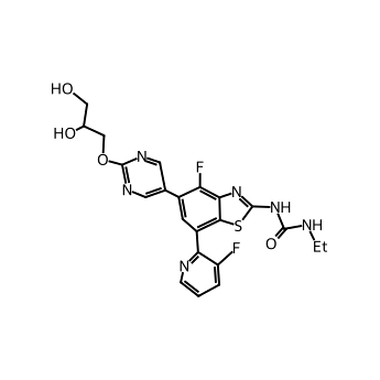 CCNC(=O)Nc1nc2c(F)c(-c3cnc(OCC(O)CO)nc3)cc(-c3ncccc3F)c2s1